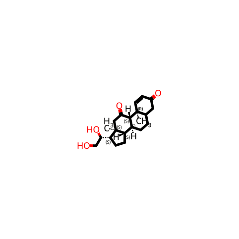 C[C@]12CC(=O)[C@H]3[C@@H](CCC4CC(=O)C=C[C@@]43C)[C@@H]1CC[C@@H]2C(O)CO